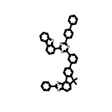 CC1(C)c2cc(-c3cccc(-c4nc(-c5ccc(-c6ccccc6)cc5)nc(-c5cccc6c5oc5ccccc56)n4)c3)ccc2-c2c1ccc1nc(-c3ccccc3)sc21